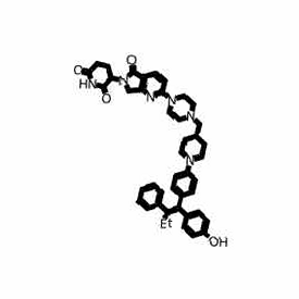 CCC(=C(c1ccc(O)cc1)c1ccc(N2CCC(CN3CCN(c4ccc5c(n4)CN(C4CCC(=O)NC4=O)C5=O)CC3)CC2)cc1)c1ccccc1